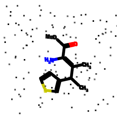 COC(=O)C(N)=C(C)C(C)c1ccsc1